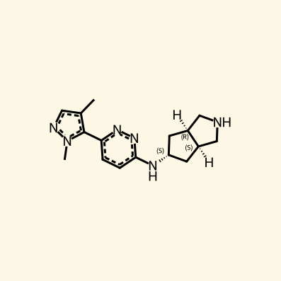 Cc1cnn(C)c1-c1ccc(N[C@@H]2C[C@H]3CNC[C@H]3C2)nn1